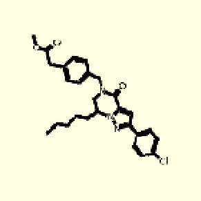 CCCCCC1CN(Cc2ccc(CC(=O)OC)cc2)C(=O)c2cc(-c3ccc(Cl)cc3)nn21